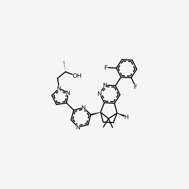 C[C@H](O)Cn1ccc(-c2cncc([C@@]34CC[C@@H](c5cc(-c6c(F)cccc6F)nnc53)C4(C)C)n2)n1